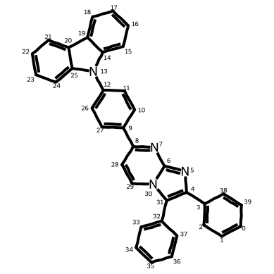 c1ccc(-c2nc3nc(-c4ccc(-n5c6ccccc6c6ccccc65)cc4)ccn3c2-c2ccccc2)cc1